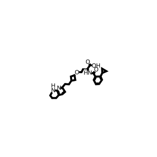 O=C(N[C@@H](CCOC1CC(CCc2ccc3c(n2)NCCC3)C1)C(=O)O)c1ccccc1C1CC1